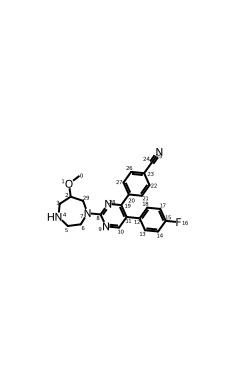 COC1CNCCN(c2ncc(-c3ccc(F)cc3)c(-c3ccc(C#N)cc3)n2)C1